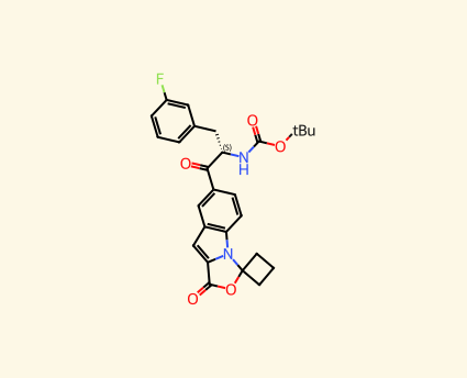 CC(C)(C)OC(=O)N[C@@H](Cc1cccc(F)c1)C(=O)c1ccc2c(c1)cc1n2C2(CCC2)OC1=O